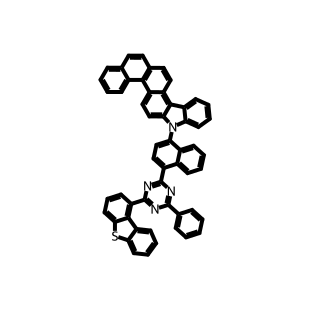 c1ccc(-c2nc(-c3ccc(-n4c5ccccc5c5c6ccc7ccc8ccccc8c7c6ccc54)c4ccccc34)nc(-c3cccc4sc5ccccc5c34)n2)cc1